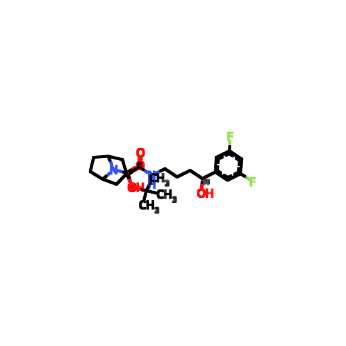 CC(C)(C)OC(=O)N1C2CCC1CC(O)(C(=O)NCCC[C@H](O)c1cc(F)cc(F)c1)C2